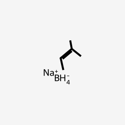 CC=C(C)C.[BH4-].[Na+]